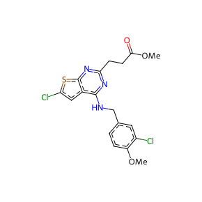 COC(=O)CCc1nc(NCc2ccc(OC)c(Cl)c2)c2cc(Cl)sc2n1